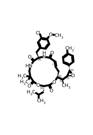 [CH2]c1ccc([C@@H]2O[C@H]2[C@@H](C)[C@@H]2C/C=C/C(=O)N[C@H](Cc3ccc(OC)c(Cl)c3)C(=O)NCC(C)(C)C(=O)O[C@@H](CC(C)C)C(=O)O2)cc1